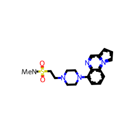 CNS(=O)(=O)CCN1CCN(c2cccc3c2ncc2cccn23)CC1